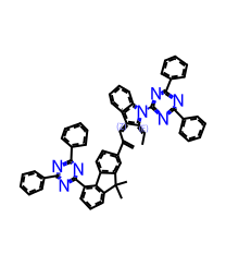 C=C(/C=c1\c(=C/C)n(-c2nc(-c3ccccc3)nc(-c3ccccc3)n2)c2ccccc12)c1ccc2c(c1)C(C)(C)c1cccc(-c3nc(-c4ccccc4)nc(-c4ccccc4)n3)c1-2